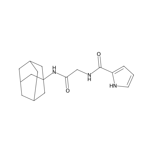 O=C(CNC(=O)c1ccc[nH]1)NC12CC3CC(CC(C3)C1)C2